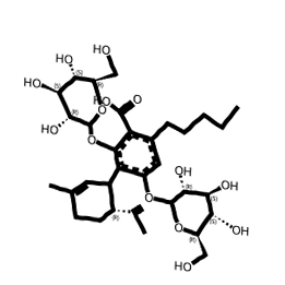 C=C(C)[C@@H]1CCC(C)=CC1c1c(OC2O[C@H](CO)[C@@H](O)[C@H](O)[C@H]2O)cc(CCCCC)c(C(=O)O)c1OC1O[C@H](CO)[C@@H](O)[C@H](O)[C@H]1O